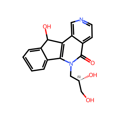 O=c1c2ccncc2c2c(n1C[C@H](O)CO)-c1ccccc1C2O